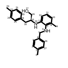 Cc1ccc(CNc2c(C)cccc2N[C@H](CO)Cc2ccc(C)cc2)cc1